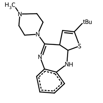 CN1CCN(C2=Nc3ccccc3NC3SC(C(C)(C)C)=CC23)CC1